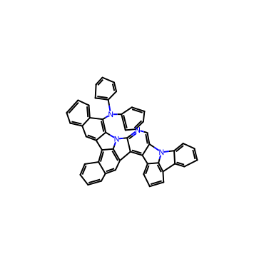 c1ccc(N(c2ccccc2)c2c3ccccc3cc3c4c5ccccc5cc5c6c7c8cccc9c%10ccccc%10n(c7cnc6n(c23)c54)c98)cc1